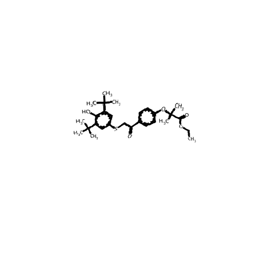 CCOC(=O)C(C)(C)Oc1ccc(C(=O)CSc2cc(C(C)(C)C)c(O)c(C(C)(C)C)c2)cc1